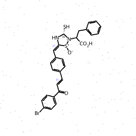 O=C(/C=C/c1ccc(/C=C2/N[C@H](S)N(C(Cc3ccccc3)C(=O)O)[S+]2[O-])cc1)c1ccc(Br)cc1